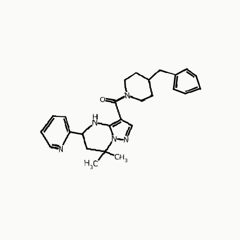 CC1(C)CC(c2ccccn2)Nc2c(C(=O)N3CCC(Cc4ccccc4)CC3)cnn21